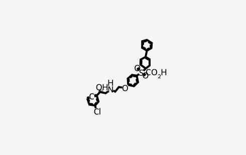 O=C(O)C1(S(=O)(=O)c2ccc(OCCNC[C@H](O)c3cccc(Cl)c3)cc2)C=CC(c2ccccc2)=CC1